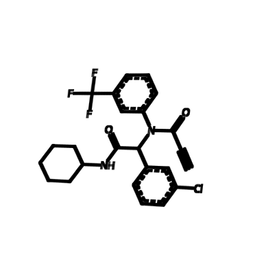 C#CC(=O)N(c1cccc(C(F)(F)F)c1)C(C(=O)NC1CCCCC1)c1cccc(Cl)c1